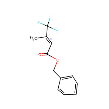 C/C(=C\C(=O)OCc1ccccc1)C(F)(F)F